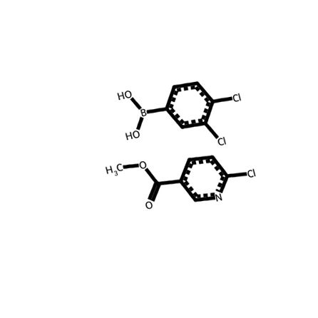 COC(=O)c1ccc(Cl)nc1.OB(O)c1ccc(Cl)c(Cl)c1